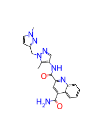 Cc1c(NC(=O)c2cc(C(N)=O)c3ccccc3n2)cnn1Cc1ccn(C)n1